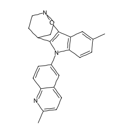 Cc1ccc2c(c1)c1c(n2-c2ccc3nc(C)ccc3c2)C2CCN(CC2)C1